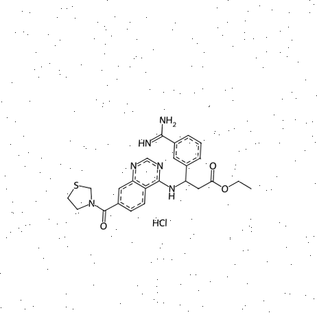 CCOC(=O)CC(Nc1ncnc2cc(C(=O)N3CCSC3)ccc12)c1cccc(C(=N)N)c1.Cl